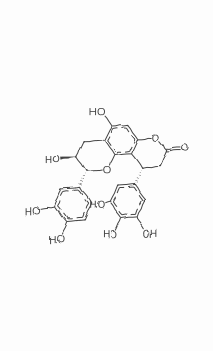 O=C1C[C@H](c2cc(O)c(O)c(O)c2)c2c(cc(O)c3c2O[C@H](c2ccc(O)c(O)c2)[C@@H](O)C3)O1